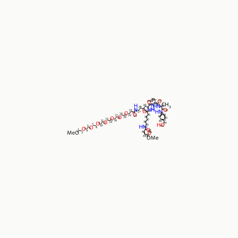 COCCOCCOCCOCCOCCOCCOCCOCCC(=O)NCCCC[C@H](NC(=O)CCCCCNC(=O)/C=C\C(=O)OC)C(=O)N[C@H](C(=O)N[C@@H](C)C(=O)Nc1ccc(CO)cc1)C(C)C